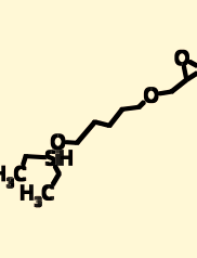 CC[SiH](CC)OCCCCCOCC1CO1